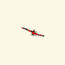 CCCCCCCCCCCCCCCCCCC(OC(CCCCCCCCCCCCCCCCCC)C(N)=O)C(N)=O